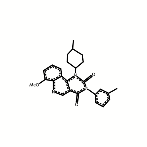 COc1cccc2c1ncc1c(=O)n(-c3cccc(C)c3)c(=O)n(C3CCC(C)CC3)c12